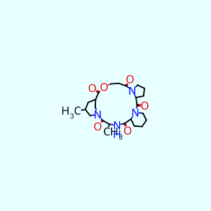 CC1CC2CN(C1)C(=O)C(C)NC(=O)C1CCCCN1C(=O)C1CCCN1C(=O)CCOC2=O